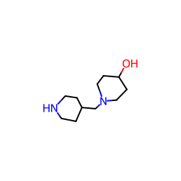 OC1CCN(CC2CCNCC2)CC1